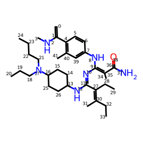 C=C(NC)c1ccc(NC(/N=C(NC2CCC(N(CCC)CCCC)CC2)\C(CC)=C(/C)CC)=C(/C)C(N)=O)cc1C